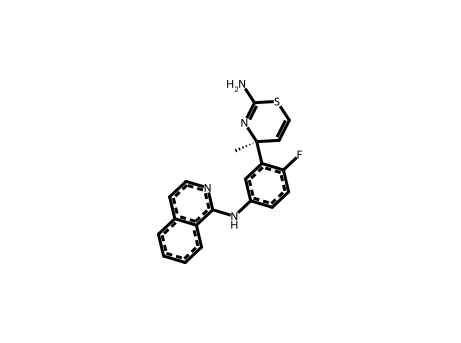 C[C@@]1(c2cc(Nc3nccc4ccccc34)ccc2F)C=CSC(N)=N1